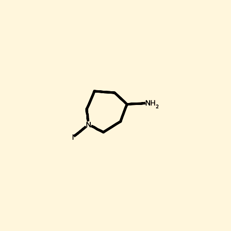 NC1CCCN(I)CC1